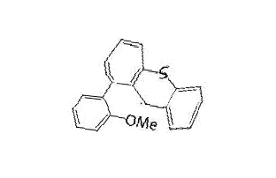 COc1ccccc1-c1cccc2c1[CH]c1ccccc1S2